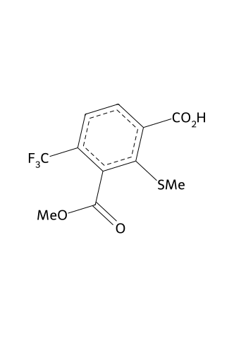 COC(=O)c1c(C(F)(F)F)ccc(C(=O)O)c1SC